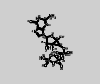 C[C@]1(O)[C@H](n2cnc3c(=O)[nH]c(N)nc32)O[C@]2(F)C(OP(=O)(O)OP(=O)(O)OP(=O)(O)O)[C@]12F